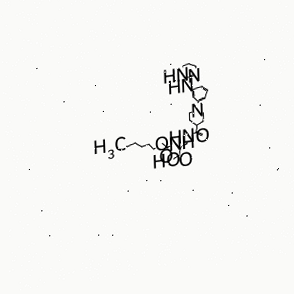 CCCCCCOC(=O)N[C@@H](CNC(=O)C1CCN(c2cccc(NC3=NCCCN3)c2)CC1)C(=O)O